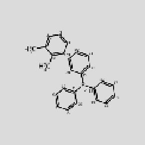 Cc1ccccc1C.c1ccc(P(c2ccccc2)c2ccccc2)cc1